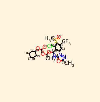 Cc1nnc(N=C(OC(C)OC(=O)OC2CCCCC2)c2ccc(C(F)(F)F)c([S+](C)[O-])c2Cl)o1